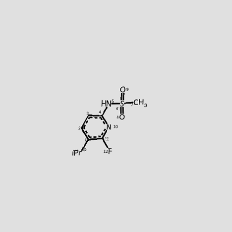 CC(C)c1ccc(NS(C)(=O)=O)nc1F